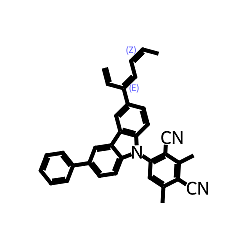 C=C/C(=C\C=C/C)c1ccc2c(c1)c1cc(-c3ccccc3)ccc1n2-c1cc(C)c(C#N)c(C)c1C#N